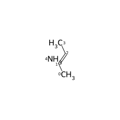 CC=CC.N